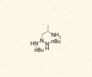 CCCCNN(CC(C)N)NCCCC